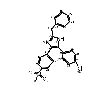 CS(=O)(=O)c1ccc(-c2nc(Cc3ccccc3)[nH]c2-c2ccc(Cl)cc2)cc1